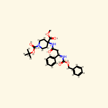 COC(=O)C1(NC(=O)CC(NC(=O)OCc2ccccc2)c2ccccc2)CCN(C(=O)OC(C)(C)C)CC1